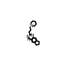 c1c2c(cc3nc(CCCN4CCCCC4)nnc13)CCC2